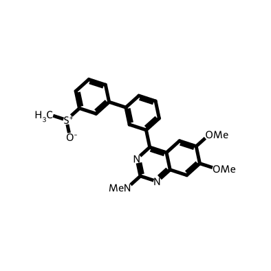 CNc1nc(-c2cccc(-c3cccc([S+](C)[O-])c3)c2)c2cc(OC)c(OC)cc2n1